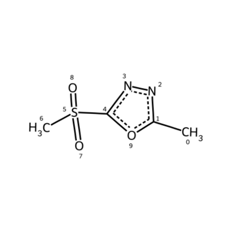 Cc1nnc(S(C)(=O)=O)o1